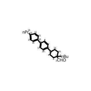 CCCCC1(C=O)CCC(c2ccc(-c3ccc(CCC)cc3)cc2)CC1